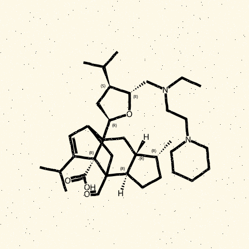 CCN(CCN1CCCCC1)C[C@@H]1O[C@@H](C23C[C@@H]4[C@H](C)CC[C@H]4C4(C=O)CC2C=C(C(C)C)[C@]43C(=O)O)C[C@H]1C(C)C